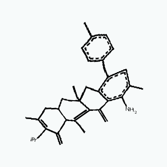 C=C1C2=C(C)C3C(=C)C(C(C)C)=C(C)CC3CC2(C)Cc2c(-c3ccc(C)cc3)cc(C)c(N)c21